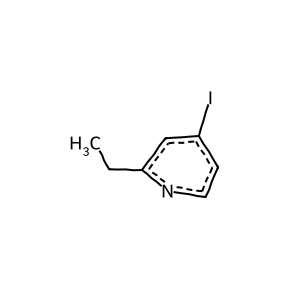 CCc1cc(I)ccn1